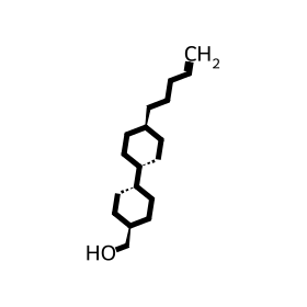 C=CCCC[C@H]1CC[C@H]([C@H]2CC[C@H](CO)CC2)CC1